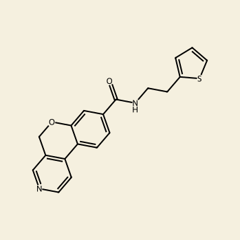 O=C(NCCc1cccs1)c1ccc2c(c1)OCc1cnccc1-2